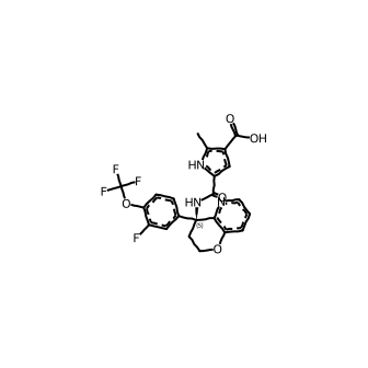 Cc1[nH]c(C(=O)N[C@]2(c3ccc(OC(F)(F)F)c(F)c3)CCOc3cccnc32)cc1C(=O)O